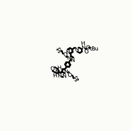 CC(C)(C)OC(=O)N[C@@H]1CCCN(Cc2ccnc(-c3cnc(-c4ccc(-c5cc6c(N7[C@@H]8CC[C@H]7COC8)ncnc6n5COCC[Si](C)(C)C)cc4)n3COCC[Si](C)(C)C)c2)C1